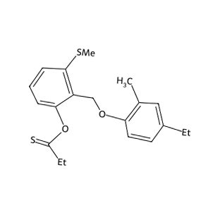 CCC(=S)Oc1cccc(SC)c1COc1ccc(CC)cc1C